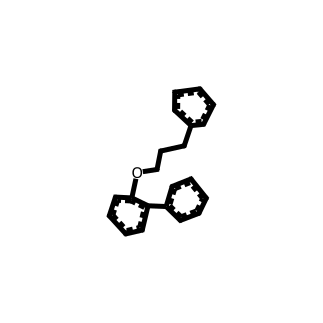 c1ccc(CCCOc2ccccc2-c2ccccc2)cc1